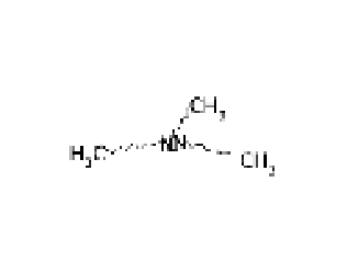 CCCCCCCCCCN1C=CN(CCCCCCCCCC)C1CCCCCC